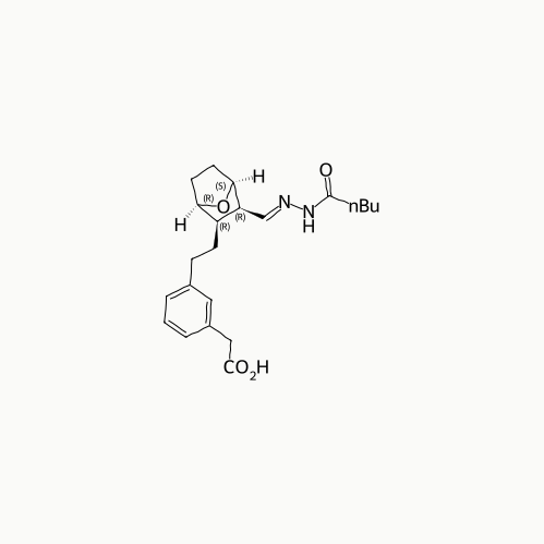 CCCCC(=O)NN=C[C@H]1[C@@H](CCc2cccc(CC(=O)O)c2)[C@H]2CC[C@@H]1O2